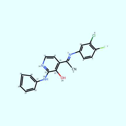 N#C/C(=N\c1ccc(F)c(Cl)c1)c1ccnc(Nc2ccccc2)c1O